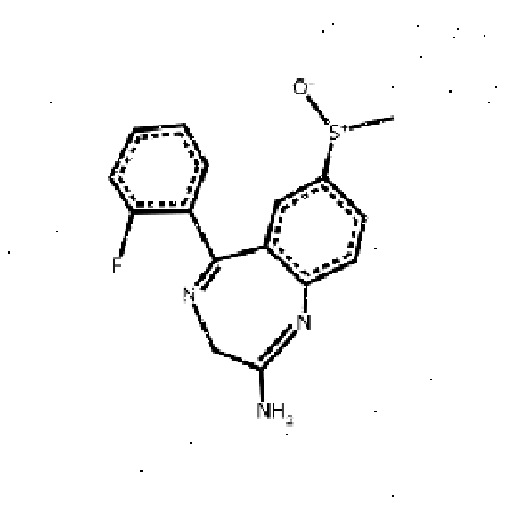 C[S+]([O-])c1ccc2c(c1)C(c1ccccc1F)=NCC(N)=N2